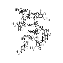 CSP(=O)(OC[C@H]1O[C@@H](n2cnc3c(=O)[nH]c(N)nc32)CC1OP(=O)(OC[C@H]1O[C@@H](n2cc(C)c(=O)[nH]c2=O)CC1OP(=O)(OC[C@H]1O[C@@H](n2cnc3c(=O)[nH]c(N)nc32)CC1OP(=O)(OC[C@H]1O[C@@H](n2cc(C)c(=O)[nH]c2=O)CC1OP(=O)(OC[C@H]1O[C@@H](n2ccc(N)nc2=O)CC1C(C)C)SC)SC)SC)SC)OC(C)C